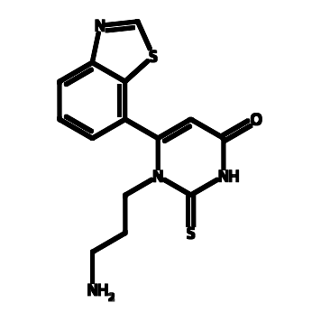 NCCCn1c(-c2cccc3ncsc23)cc(=O)[nH]c1=S